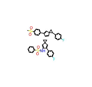 CS(=O)(=O)c1ccc(C2=CC3(C=C2)CC3c2ccc(F)cc2)cc1.O=S(=O)(NC1=CC2(C=C1c1ccc(F)cc1)CC2)c1ccccc1